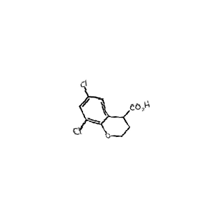 O=C(O)C1CCOc2c(Cl)cc(Cl)cc21